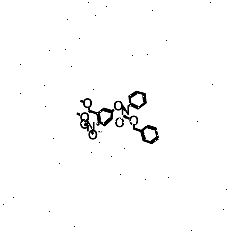 COC(OC)c1cc(ON(C(=O)OCc2ccccc2)c2ccccc2)ccc1[N+](=O)[O-]